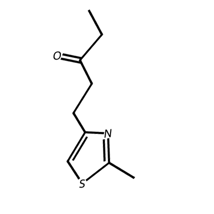 CCC(=O)CCc1csc(C)n1